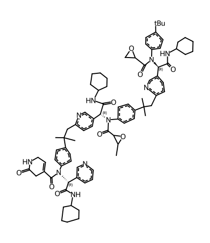 CC1OC1C(=O)N(c1ccc(C(C)(C)Cc2ccc([C@H](C(=O)NC3CCCCC3)N(C(=O)C3CO3)c3ccc(C(C)(C)C)cc3)cn2)cc1)[C@@H](C(=O)NC1CCCCC1)c1ccc(CC(C)(C)c2ccc(N(C(=O)C3=CCNC(=O)C3)[C@@H](C(=O)NC3CCCCC3)c3cccnc3)cc2)nc1